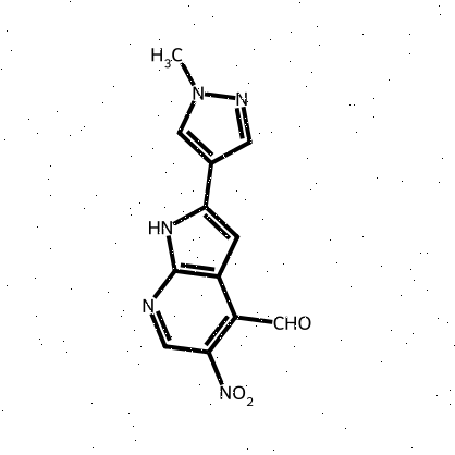 Cn1cc(-c2cc3c(C=O)c([N+](=O)[O-])cnc3[nH]2)cn1